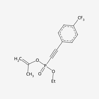 C=C(C)OP(=O)(C#Cc1ccc(C(F)(F)F)cc1)OCC